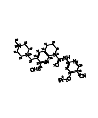 CC(C)Oc1cc(NC(=O)N2CCCc3cc(CN4CCN(C)CC4)c(C=O)nc32)ncc1C#N